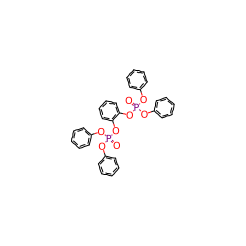 O=P(Oc1ccccc1)(Oc1ccccc1)Oc1ccccc1OP(=O)(Oc1ccccc1)Oc1ccccc1